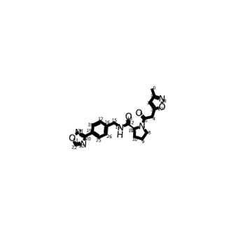 Cc1cc(CC(=O)N2CCC[C@H]2C(=O)NCc2ccc(-c3ncon3)cc2)on1